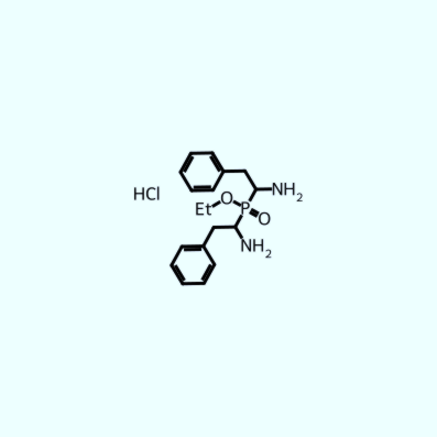 CCOP(=O)(C(N)Cc1ccccc1)C(N)Cc1ccccc1.Cl